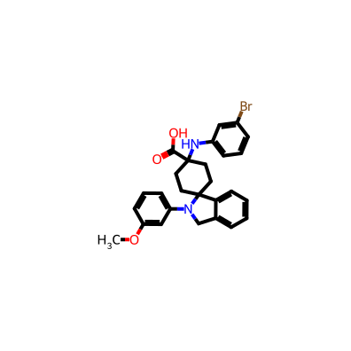 COc1cccc(N2Cc3ccccc3C23CCC(Nc2cccc(Br)c2)(C(=O)O)CC3)c1